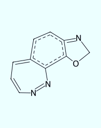 C1=CN=Nc2c3c(ccc2=C1)=NCO3